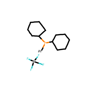 CC(C)P(C1CCCCC1)C1CCCCC1.F[B-](F)(F)F